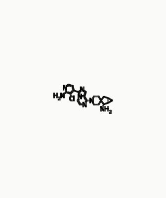 Nc1nccc(-c2ncc3c(N4CCC5(CC4)CC4CC4[C@H]5N)nccn23)c1Cl